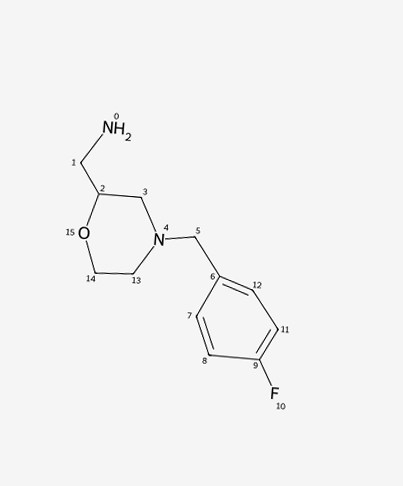 NCC1CN(Cc2ccc(F)cc2)CCO1